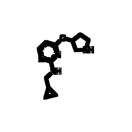 c1cc(OC2CCNC2)nc(NCC2CC2)n1